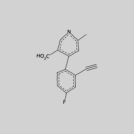 C#Cc1cc(F)ccc1-c1cc(C)ncc1C(=O)O